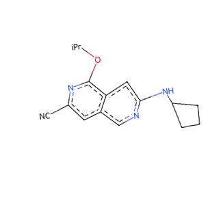 CC(C)Oc1nc(C#N)cc2cnc(NC3CCC3)cc12